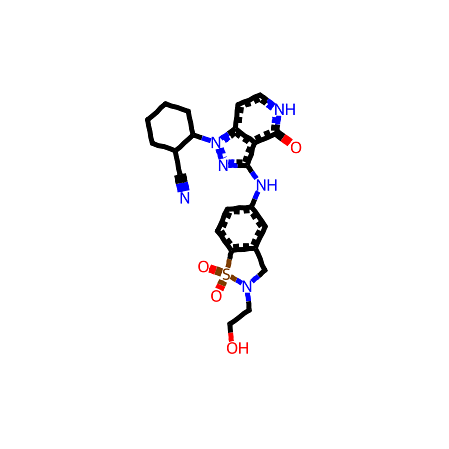 N#CC1CCCCC1n1nc(Nc2ccc3c(c2)CN(CCO)S3(=O)=O)c2c(=O)[nH]ccc21